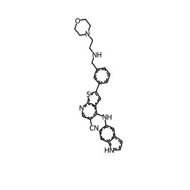 N#Cc1cnc2sc(-c3cccc(CNCCN4CCOCC4)c3)cc2c1Nc1ccc2[nH]ccc2c1